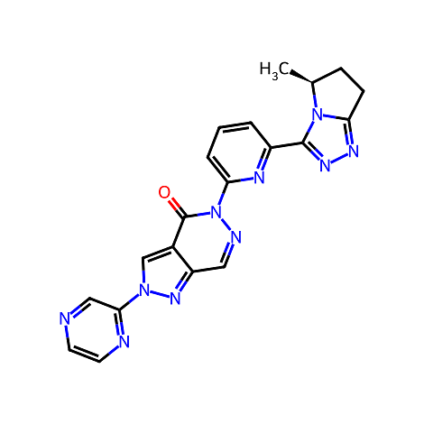 C[C@H]1CCc2nnc(-c3cccc(-n4ncc5nn(-c6cnccn6)cc5c4=O)n3)n21